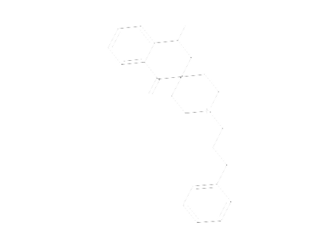 CC1CC2(CCN(CCCc3ccccc3)CC2)C(=O)c2ccccc21